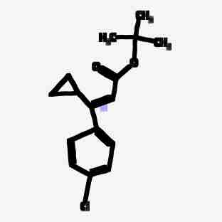 CC(C)(C)OC(=O)/C=C(/c1ccc(Cl)cc1)C1CC1